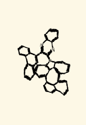 c1cc2c3c(cccc3c1)-c1cccc3c1c1c-2cccc1n3-c1nc2ccccc2nc1-c1cc2ccccc2c2ccccc12